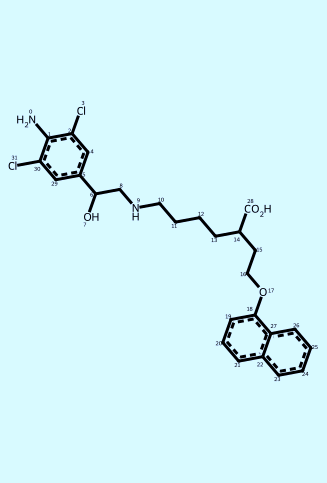 Nc1c(Cl)cc(C(O)CNCCCCC(CCOc2cccc3ccccc23)C(=O)O)cc1Cl